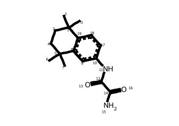 CC1(C)CCC(C)(C)c2cc(NC(=O)C(N)=O)ccc21